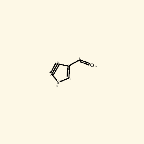 O=Cc1c#csc1